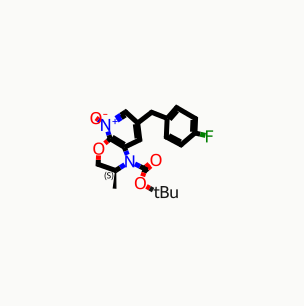 C[C@H]1COc2c(cc(Cc3ccc(F)cc3)c[n+]2[O-])N1C(=O)OC(C)(C)C